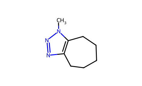 Cn1nnc2c1CCCCC2